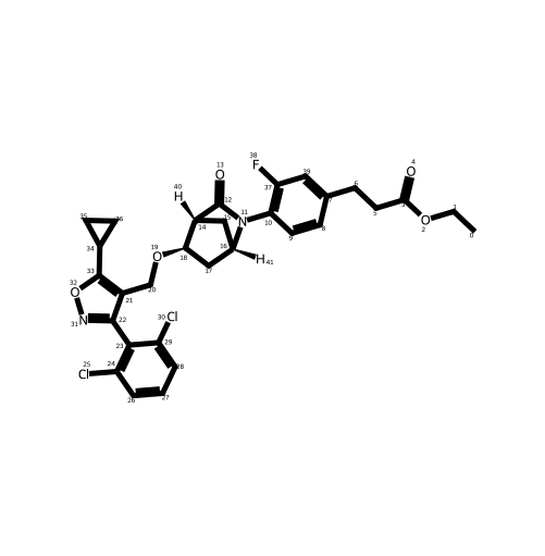 CCOC(=O)CCc1ccc(N2C(=O)[C@@H]3C[C@H]2C[C@H]3OCc2c(-c3c(Cl)cccc3Cl)noc2C2CC2)c(F)c1